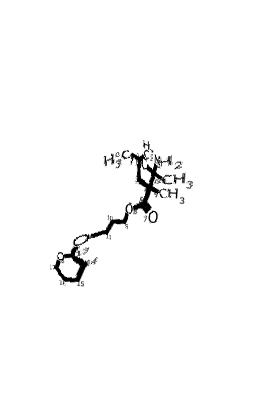 CC(C)CC(C)(C(=O)OCCCOC1CCCCO1)C(C)(C)N